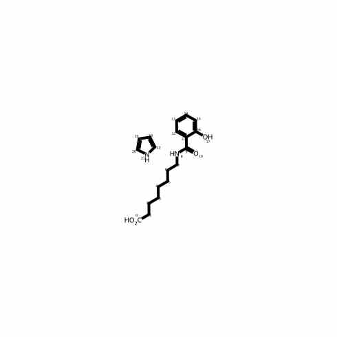 O=C(O)CCCCCCCNC(=O)c1ccccc1O.c1cc[nH]c1